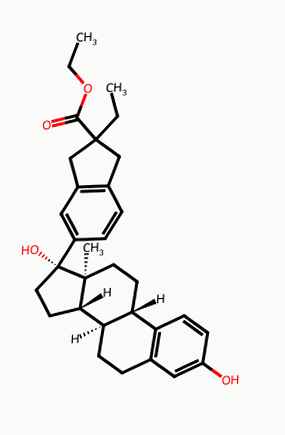 CCOC(=O)C1(CC)Cc2ccc([C@]3(O)CC[C@H]4[C@@H]5CCc6cc(O)ccc6[C@H]5CC[C@@]43C)cc2C1